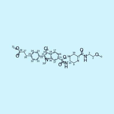 COCCNC(=O)[C@H]1CC[C@H](NS(=O)(=O)c2ccc3c(Cl)c(-c4ccc(CCC(=O)OC)cc4)n(C)c3c2)CC1